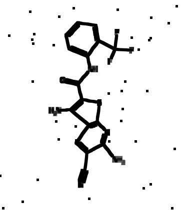 N#Cc1cc2c(N)c(C(=O)Nc3ccccc3C(F)(F)F)sc2nc1N